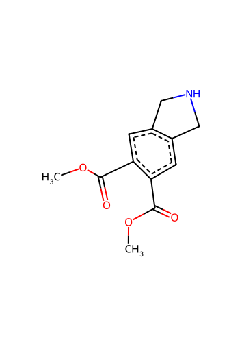 COC(=O)c1cc2c(cc1C(=O)OC)CNC2